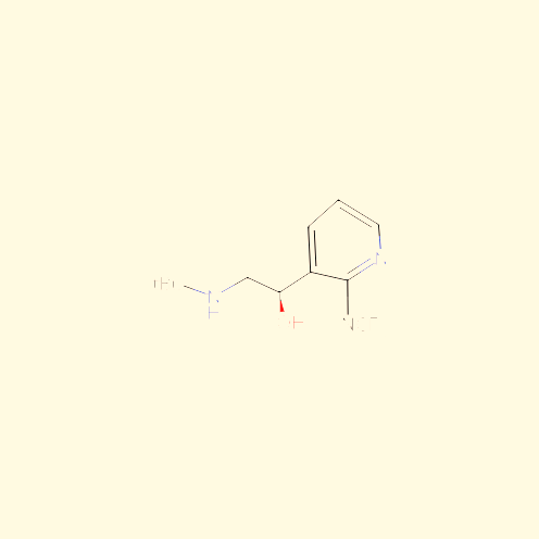 CC(C)(C)NC[C@H](O)c1cccnc1NC(F)(F)F